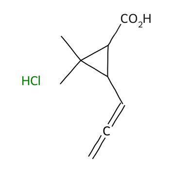 C=C=CC1C(C(=O)O)C1(C)C.Cl